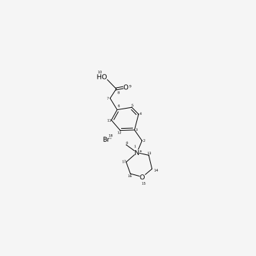 C[N+]1(Cc2ccc(CC(=O)O)cc2)CCOCC1.[Br-]